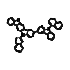 c1ccc2cc(-n3c4ccc(-c5ccc6c(c5)c5ccccc5n6-c5cccc6ccccc56)cc4c4cc5oc6ccccc6c5cc43)ccc2c1